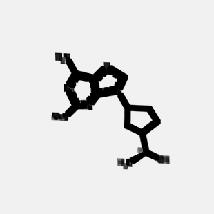 CSc1nc(N)c2ncn(C3CCC([C@H](C)O)C3)c2n1